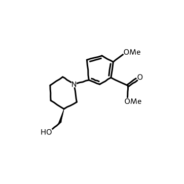 COC(=O)c1cc(N2CCC[C@H](CO)C2)ccc1OC